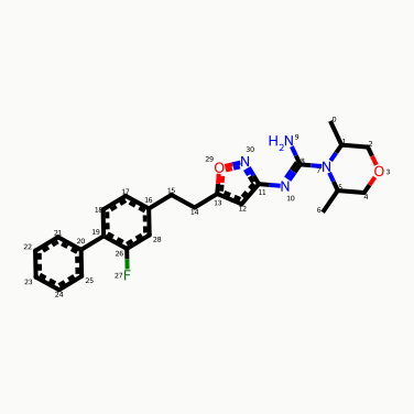 CC1COCC(C)N1C(N)=Nc1cc(CCc2ccc(-c3ccccc3)c(F)c2)on1